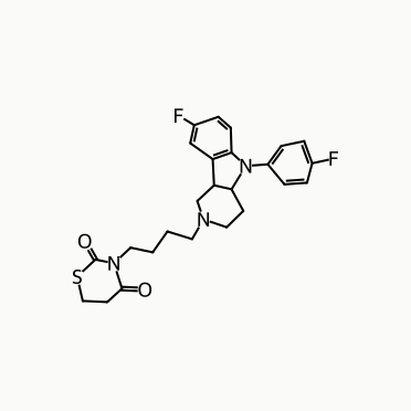 O=C1CCSC(=O)N1CCCCN1CCC2C(C1)c1cc(F)ccc1N2c1ccc(F)cc1